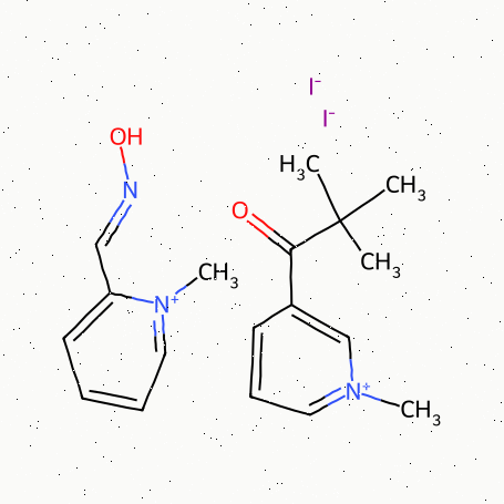 C[n+]1cccc(C(=O)C(C)(C)C)c1.C[n+]1ccccc1C=NO.[I-].[I-]